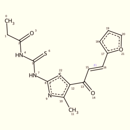 CCC(=O)NC(=S)Nc1nc(C)c(C(=O)/C=C/c2ccco2)s1